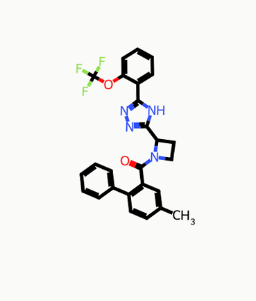 Cc1ccc(-c2ccccc2)c(C(=O)N2CCC2c2nnc(-c3ccccc3OC(F)(F)F)[nH]2)c1